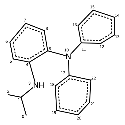 CC(C)Nc1ccccc1N(c1ccccc1)c1ccccc1